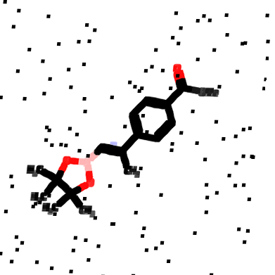 COC(=O)c1ccc(/C(C)=C/B2OC(C)(C)C(C)(C)O2)cc1